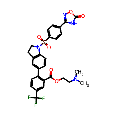 CN(C)CCOC(=O)c1cc(C(F)(F)F)ccc1-c1ccc2c(c1)CCN2S(=O)(=O)c1ccc(-c2noc(=O)[nH]2)cc1